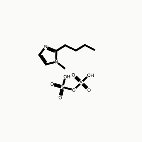 CCCCc1nccn1C.O=S(=O)(O)OS(=O)(=O)O